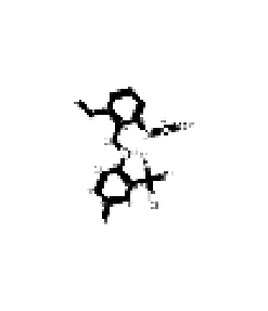 CCc1cccc(N=C=O)c1COc1ccc(C)cc1C(F)(F)F